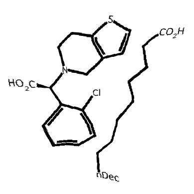 CCCCCCCCCCCCCCCCCC(=O)O.O=C(O)[C@H](c1ccccc1Cl)N1CCc2sccc2C1